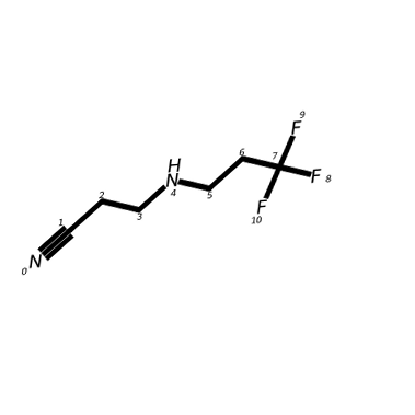 N#CCCNCCC(F)(F)F